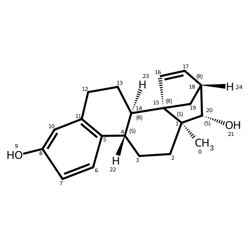 C[C@]12CC[C@@H]3c4ccc(O)cc4CC[C@H]3[C@]13C=C[C@@H](C3)[C@@H]2O